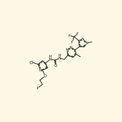 Cc1cc(CNC(=O)Nc2cc(Cl)nc(OCCF)c2)nnc1-c1cn(C)nc1C(F)(F)F